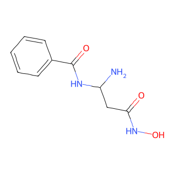 NC(CC(=O)NO)NC(=O)c1ccccc1